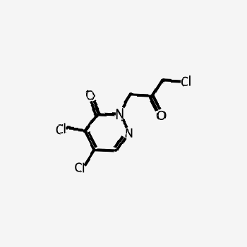 O=C(CCl)Cn1ncc(Cl)c(Cl)c1=O